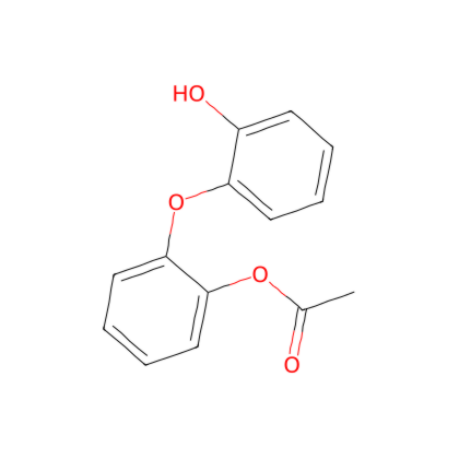 CC(=O)Oc1ccccc1Oc1ccccc1O